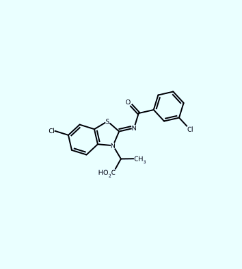 CC(C(=O)O)n1c(=NC(=O)c2cccc(Cl)c2)sc2cc(Cl)ccc21